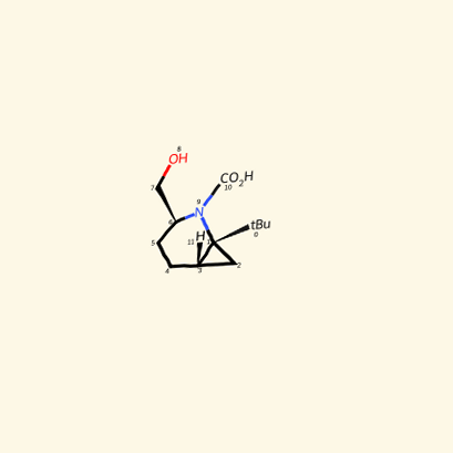 CC(C)(C)[C@@]12C[C@@H]1CC[C@@H](CO)N2C(=O)O